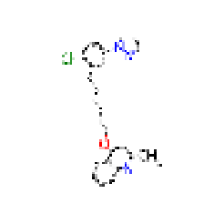 Cc1cc(OCCCCCCc2cc(-n3cccn3)ccc2Cl)c2ccccc2n1